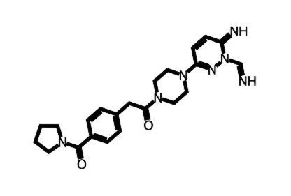 N=Cn1nc(N2CCN(C(=O)Cc3ccc(C(=O)N4CCCC4)cc3)CC2)ccc1=N